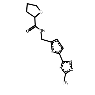 O=C(NCc1ccc(-c2noc(C(F)(F)F)n2)s1)C1CCCO1